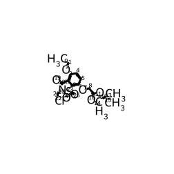 CCOc1ccc(OCC(=O)OC(C)(C)C)c2c1C(=O)N(CCl)S2(=O)=O